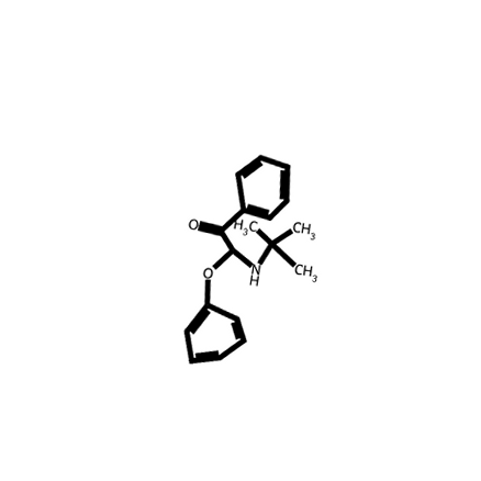 CC(C)(C)NC(Oc1ccccc1)C(=O)c1ccccc1